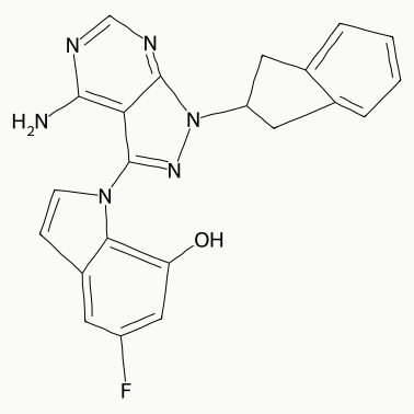 Nc1ncnc2c1c(-n1ccc3cc(F)cc(O)c31)nn2C1Cc2ccccc2C1